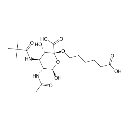 CC(=O)N[C@@H]1[C@@H](NC(=O)C(C)(C)C)[C@H](O)[C@](OCCCCCC(=O)O)(C(=O)O)O[C@H]1O